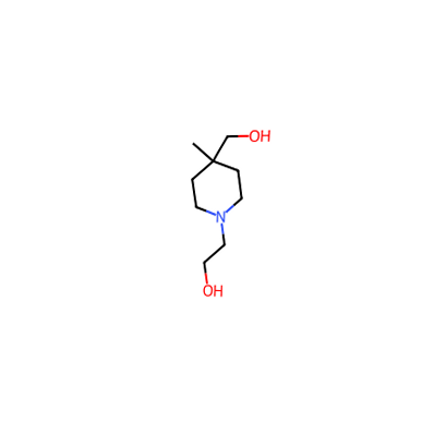 CC1(CO)CCN(CCO)CC1